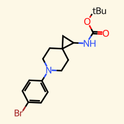 CC(C)(C)OC(=O)NC1CC12CCN(c1ccc(Br)cc1)CC2